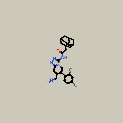 NCc1cc2nnc(NC(=O)CC34CC5CC(CC(C5)C3)C4)n2cc1-c1ccc(Cl)cc1Cl